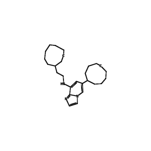 c1cn2cc(C3CCCCCCCC3)cc(NCCC3CCCCCCCC3)c2n1